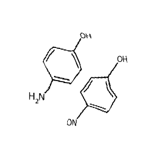 Nc1ccc(O)cc1.O=Nc1ccc(O)cc1